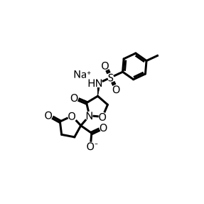 Cc1ccc(S(=O)(=O)N[C@H]2CON(C3(C(=O)[O-])CCC(=O)O3)C2=O)cc1.[Na+]